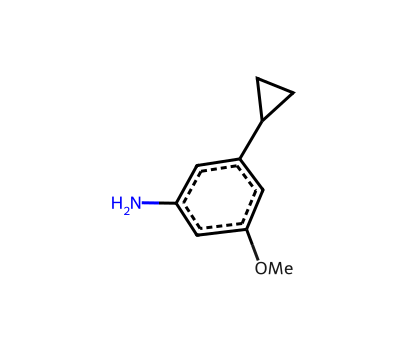 COc1cc(N)cc(C2CC2)c1